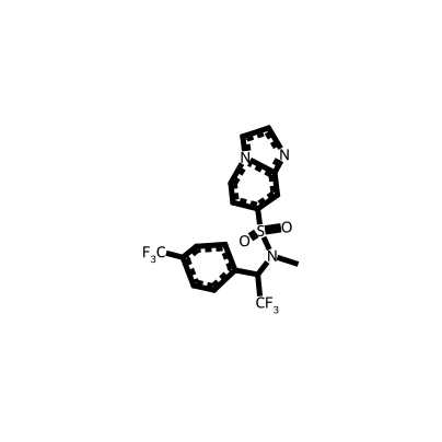 CN(C(c1ccc(C(F)(F)F)cc1)C(F)(F)F)S(=O)(=O)c1ccn2ccnc2c1